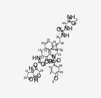 COc1ccc(S(=O)(=O)N(C[C@H](O)[C@H](Cc2ccccc2)NC(=O)O[C@H]2CO[C@H]3OCC[C@H]32)CC(C)(C)CCCNC(=O)NCC(N)=O)cc1